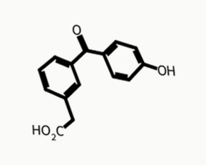 O=C(O)Cc1cccc(C(=O)c2ccc(O)cc2)c1